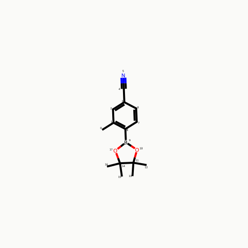 Cc1cc(C#N)ccc1B1OC(C)(C)C(C)(C)O1